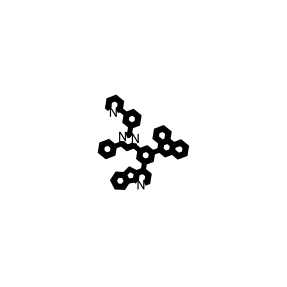 c1ccc(-c2cc(-c3cc(-c4ccnc5c4Cc4ccccc4-5)cc(-c4cc5ccccc5c5ccccc45)c3)nc(-c3cccc(-c4ccccn4)c3)n2)cc1